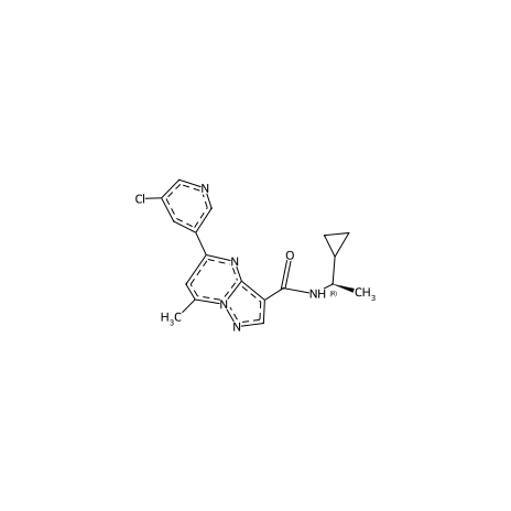 Cc1cc(-c2cncc(Cl)c2)nc2c(C(=O)N[C@H](C)C3CC3)cnn12